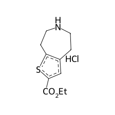 CCOC(=O)c1cc2c(s1)CCNCC2.Cl